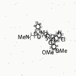 CNCCCOC(=O)C(NCc1ccc(C(=O)O[C@@H](Cc2c(Cl)cncc2Cl)c2ccc(OC)c(OC)c2)s1)c1ccccc1